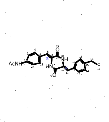 CC(=O)Nc1ccc(/C=c2\[nH]c(=O)/c(=C/c3ccc(CF)cc3)[nH]c2=O)cc1